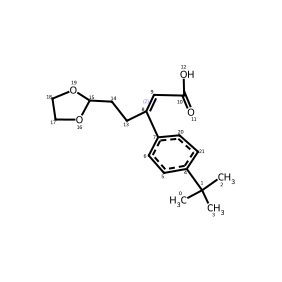 CC(C)(C)c1ccc(/C(=C\C(=O)O)CCC2OCCO2)cc1